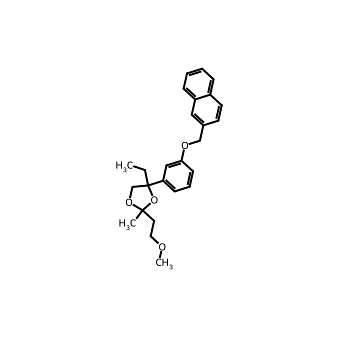 CCC1(c2cccc(OCc3ccc4ccccc4c3)c2)COC(C)(CCOC)O1